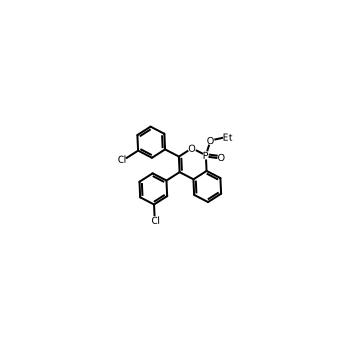 CCOP1(=O)OC(c2cccc(Cl)c2)=C(c2cccc(Cl)c2)c2ccccc21